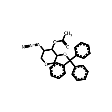 CC(=O)OC1C(N=[N+]=[N-])COCC1OC(c1ccccc1)(c1ccccc1)c1ccccc1